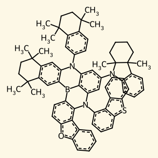 CC1(C)CCC(C)(C)c2cc(N3c4cc5c(cc4B4c6ccc7oc8ccccc8c7c6N(c6cccc7sc8ccccc8c67)c6cc(N7c8ccccc8C8(C)CCCCC78C)cc3c64)C(C)(C)CCC5(C)C)ccc21